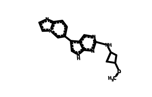 COC1CC(Nc2ncc3c(-c4ccc5nccn5c4)c[nH]c3n2)C1